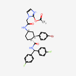 O=C(CN1C=C[N+]=C1OC(=O)C(F)(F)F)N[C@@H]1CC[C@@H](C(=O)NC(c2ccc(F)cc2)c2ccc(F)cc2)[C@H](c2ccc(Br)cc2)C1